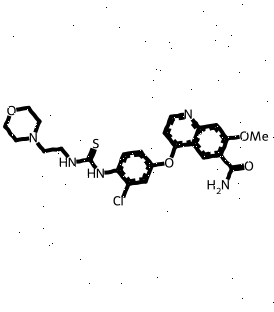 COc1cc2nccc(Oc3ccc(NC(=S)NCCN4CCOCC4)c(Cl)c3)c2cc1C(N)=O